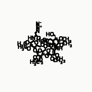 COCC1=C[C@@H](N[C@H]2C(C)O[C@@H](O[C@H]3C(COC)O[C@@H](O[C@H]4C(COC)OC(NC(=O)CN=[N+]=[N-])C(OC)[C@@H]4OC)C(OC)[C@@H]3OC)C(OC)[C@@H]2OC)C(OC)[C@H](OC)[C@H]1CO